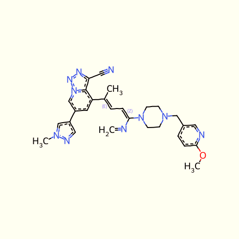 C=N/C(=C\C=C(/C)c1cc(-c2cnn(C)c2)cn2nnc(C#N)c12)N1CCN(Cc2ccc(OC)nc2)CC1